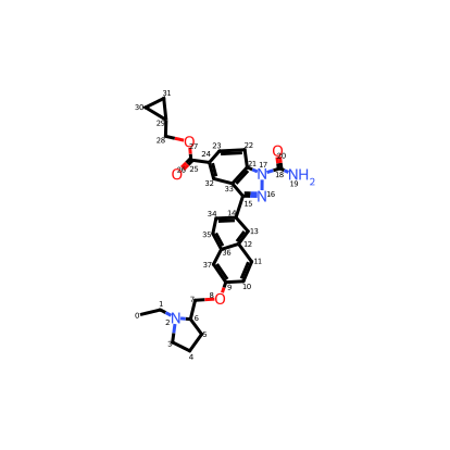 CCN1CCCC1COc1ccc2cc(-c3nn(C(N)=O)c4ccc(C(=O)OCC5CC5)cc34)ccc2c1